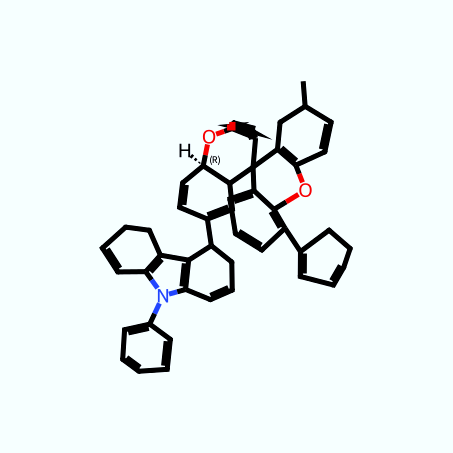 CC1C=CC2=C(C1)C1(c3ccccc3O[C@@H]3C=CC(C4CC=Cc5c4c4c(n5-c5ccccc5)C=CCC4)=CC31)c1cccc(C3=CC=CCC3)c1O2